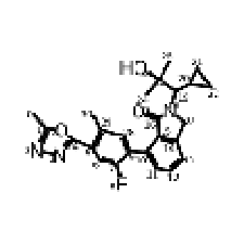 Cc1nnc(-c2cc(F)c(-c3cccc4c3C(=O)N(C(C3CC3)C(C)(C)O)C4)cc2C)o1